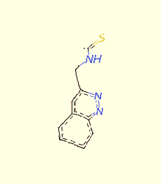 S=[C]NCc1cc2ccccc2nn1